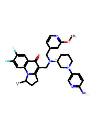 COc1cc(CN(Cc2c3n(c4cc(F)c(F)cc4c2=O)C(C)CC3)[C@H]2CCCN(c3ccc(N)nc3)C2)ccn1